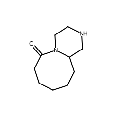 O=C1CCCCCC2CNCCN12